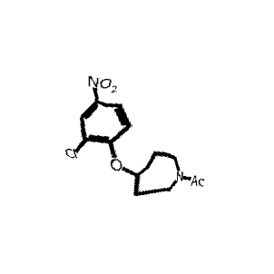 CC(=O)N1CCC(Oc2ccc([N+](=O)[O-])cc2Cl)CC1